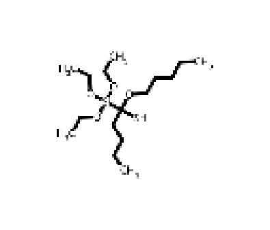 CCCCCOC(S)(CCCC)[Si](OCC)(OCC)OCC